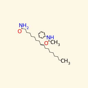 CC(=O)Nc1ccccc1.CCCCCCCCC=CCCCCCCCC(N)=O